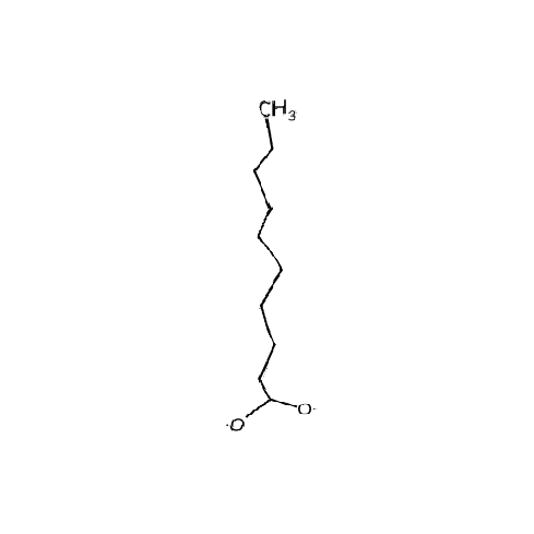 CCCCCCCCCC([O])[O]